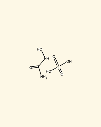 NC(=O)NO.O=S(=O)(O)O